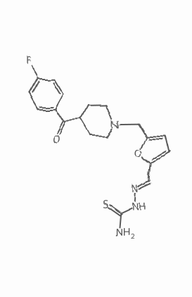 NC(=S)NN=Cc1ccc(CN2CCC(C(=O)c3ccc(F)cc3)CC2)o1